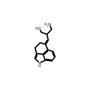 NCC(/C=C1\CCc2c[nH]c3cccc1c23)CO